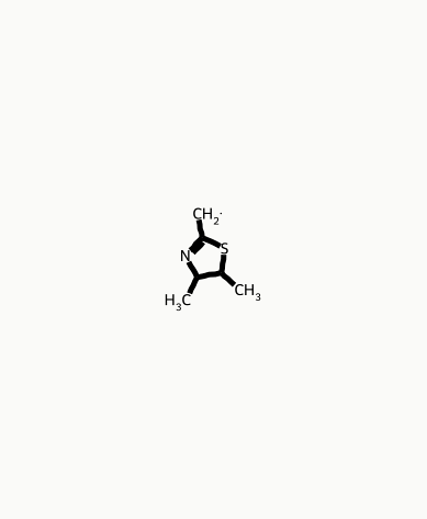 [CH2]C1=NC(C)C(C)S1